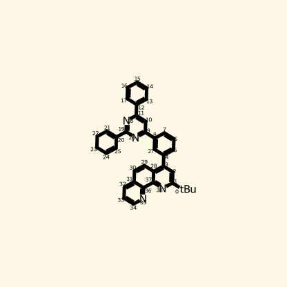 CC(C)(C)c1cc(-c2cccc(-c3cc(-c4ccccc4)nc(C4=CCCC=C4)n3)c2)c2ccc3cccnc3c2n1